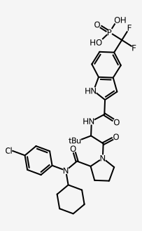 CC(C)(C)C(NC(=O)c1cc2cc(C(F)(F)P(=O)(O)O)ccc2[nH]1)C(=O)N1CCCC1C(=O)N(c1ccc(Cl)cc1)C1CCCCC1